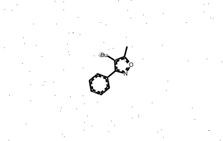 CCC(C)c1c(-c2ccccc2)noc1C